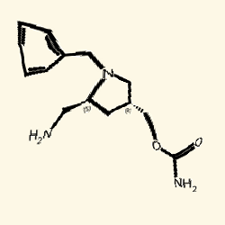 NC[C@@H]1C[C@@H](COC(N)=O)CN1Cc1ccccc1